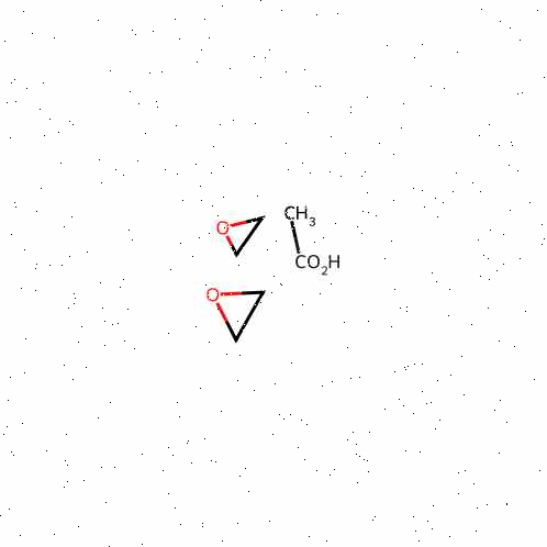 C1CO1.C1CO1.CC(=O)O